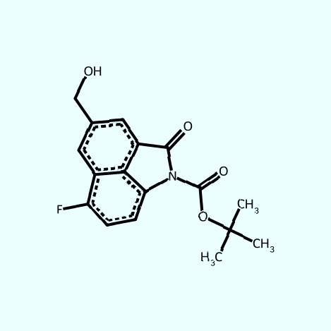 CC(C)(C)OC(=O)N1C(=O)c2cc(CO)cc3c(F)ccc1c23